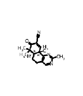 Cc1ncc2c(n1)[C@@]1(C)C=C(C#N)C(=O)C(C)(C)[C@@H]1CC2